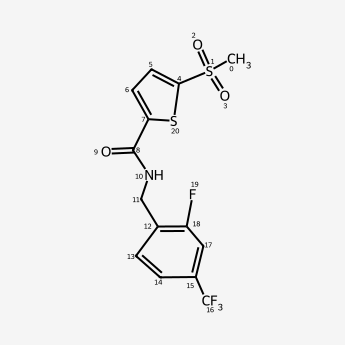 CS(=O)(=O)c1ccc(C(=O)NCc2ccc(C(F)(F)F)cc2F)s1